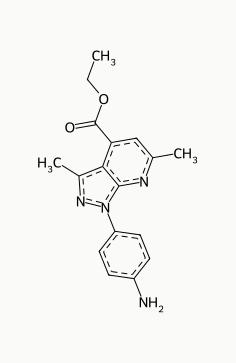 CCOC(=O)c1cc(C)nc2c1c(C)nn2-c1ccc(N)cc1